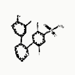 Cc1cc(-c2cccnc2-c2cc(F)c(S(N)(=O)=O)cc2F)ccc1Br